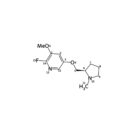 COc1cc(OC[C@H]2CCCN2C)cnc1F